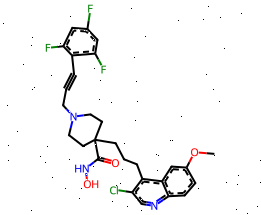 COc1ccc2ncc(Cl)c(CCCC3(C(=O)NO)CCN(CC#Cc4c(F)cc(F)cc4F)CC3)c2c1